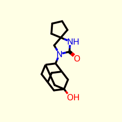 O=C1NC2(CCCC2)CN1C1C2CC3CC1CC(O)(C3)C2